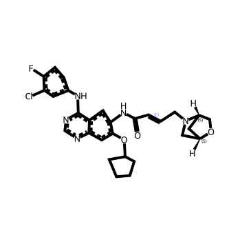 O=C(/C=C/CN1C[C@@H]2C[C@H]1CO2)Nc1cc2c(Nc3ccc(F)c(Cl)c3)ncnc2cc1OC1CCCC1